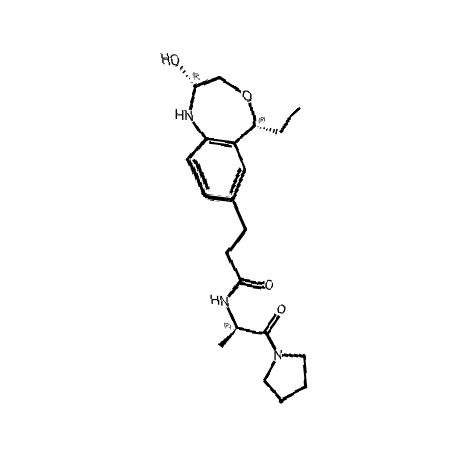 CC[C@H]1OC[C@@H](O)Nc2ccc(CCC(=O)N[C@H](C)C(=O)N3CCCC3)cc21